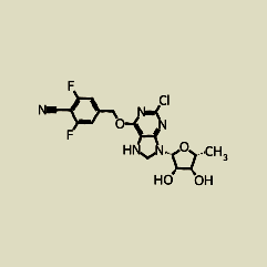 C[C@H]1O[C@@H](N2CNc3c(OCc4cc(F)c(C#N)c(F)c4)nc(Cl)nc32)[C@H](O)[C@@H]1O